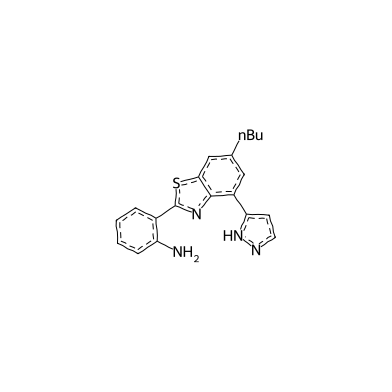 CCCCc1cc(-c2ccn[nH]2)c2nc(-c3ccccc3N)sc2c1